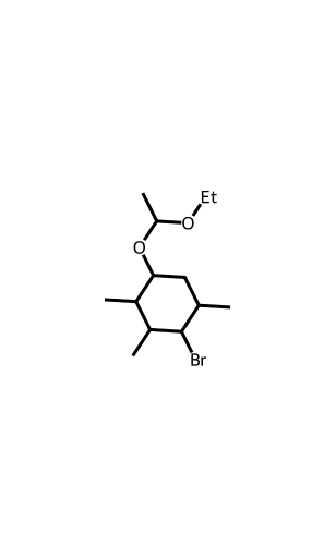 CCOC(C)OC1CC(C)C(Br)C(C)C1C